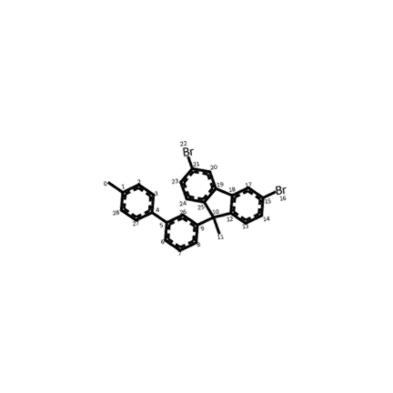 Cc1ccc(-c2cccc(C3(C)c4ccc(Br)cc4-c4cc(Br)ccc43)c2)cc1